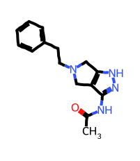 CC(=O)Nc1n[nH]c2c1CN(CCc1ccccc1)C2